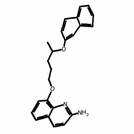 CC(CCCOc1cccc2ccc(N)nc12)Oc1ccc2ccccc2c1